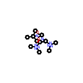 O=C1c2cccc(-n3c4ccc(-c5nc(-c6ccccc6)nc(-c6ccccc6)n5)cc4c4cc(-c5nc(-c6ccccc6)nc(-c6ccccc6)n5)ccc43)c2C(=O)N1c1c(-c2ccccc2)cc(-c2ccccc2)cc1-c1ccccc1